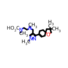 CN(CCN(C)C(=O)O)Cc1cn(C)nc1C1=CCC2(CC1)CC(C)(C)CO2